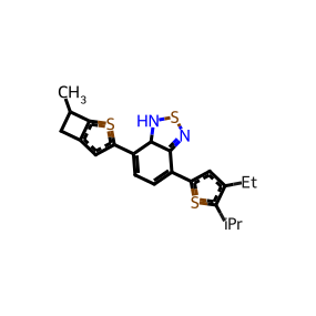 CCc1cc(C2=CC=C(c3cc4c(s3)C(C)C4)C3NSN=C23)sc1C(C)C